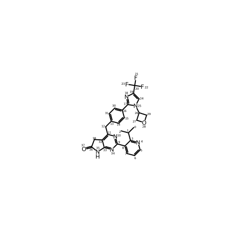 CC(C)c1ncccc1-c1nc(Cc2ccc(-c3nc(C(F)(F)F)cn3C3COC3)cc2)c2c(n1)NC(=O)C2